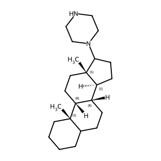 C[C@]12CCCCC1CC[C@@H]1[C@H]2CC[C@]2(C)C(N3CCNCC3)CC[C@@H]12